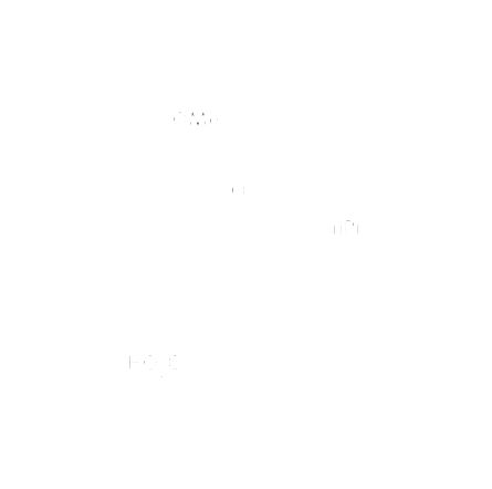 CCCc1ccc(C(=O)O)cc1OCOC